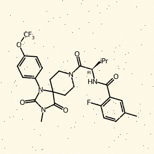 Cc1ccc(F)c(C(=O)N[C@@H](C(=O)N2CCC3(CC2)C(=O)N(C)C(=O)N3c2ccc(OC(F)(F)F)cc2)C(C)C)c1